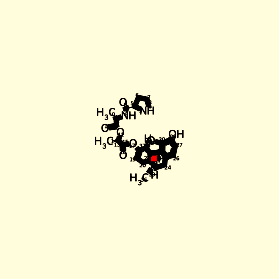 CC(NC(=O)[C@@H]1CCCN1)C(=O)O[C@@H](C)C(=O)OC1=CC[C@@]2(O)[C@H]3Cc4ccc(O)c5c4[C@@]2(CCN3C)[C@H]1O5